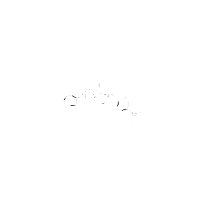 CN(C)C1=CC=C(CN2CC[C@]3(C2)SN(c2ccccc2)C[C@@H]3O)CC1